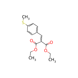 CCOC(=O)C(=Cc1ccc(SC)cc1)C(=O)OCC